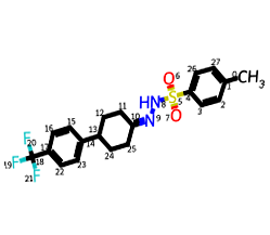 Cc1ccc(S(=O)(=O)NN=C2CCC(c3ccc(C(F)(F)F)cc3)CC2)cc1